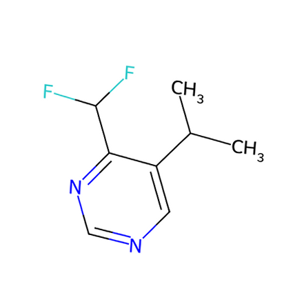 CC(C)c1cncnc1C(F)F